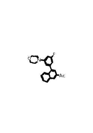 CC(=O)c1cc(-c2cc(F)cc(N3CCOCC3)c2)c2ccccc2c1